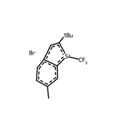 Cc1ccc2cc(C(C)(C)C)[s+](C(F)(F)F)c2c1.[Br-]